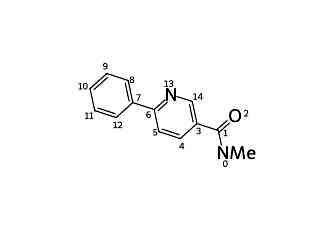 CNC(=O)c1ccc(-c2ccccc2)nc1